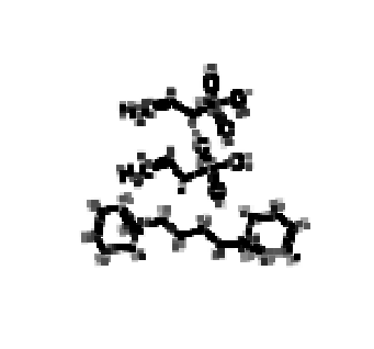 C=CCS(=O)(=O)[O-].C=CCS(=O)(=O)[O-].c1cc[n+](CCCC[n+]2ccccc2)cc1